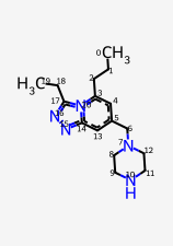 CCCc1cc(CN2CCNCC2)cc2nnc(CC)n12